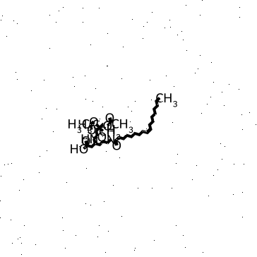 CCCCCCCC/C=C\CCCCCCCC(=O)NCCCC(CC(=O)O)NC(=O)C(OC(C)=O)C(C)(C)COC(C)=O